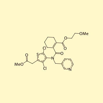 COCCOC(=O)C1=C(C(=O)N(Cc2cccnc2)c2c(Cl)sc(CC(=O)OC)c2Cl)CCCC1